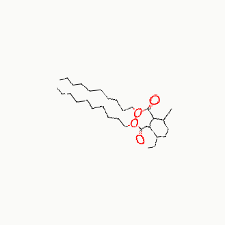 CCCCCCCCCCOC(=O)C1C(C)CCC(CC)C1C(=O)OCCCCCCCCCC